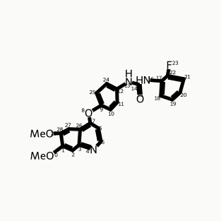 COc1cc2nccc(Oc3ccc(NC(=O)Nc4ccccc4F)cc3)c2cc1OC